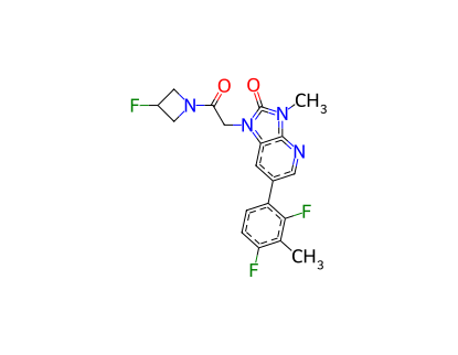 Cc1c(F)ccc(-c2cnc3c(c2)n(CC(=O)N2CC(F)C2)c(=O)n3C)c1F